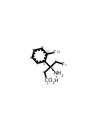 N[C@@](CF)(CC(=O)O)c1ccccc1F